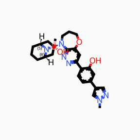 CB(O)N1[C@@H]2CCC[C@H]1C[C@H](N1CCCOc3cc(-c4ccc(-c5cnn(C)c5)cc4O)nnc31)C2